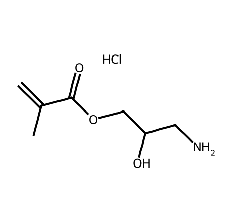 C=C(C)C(=O)OCC(O)CN.Cl